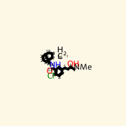 CNC[C@H](O)CCc1ccc(Cl)c(C(=O)NCC23CCCC(CCC2)C3)c1.[CH2]